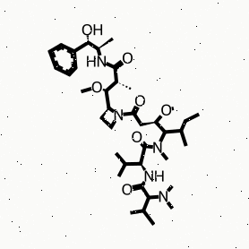 CCC(C)C([C@@H](CC(=O)N1CC[C@H]1[C@H](OC)[C@@H](C)C(=O)N[C@H](C)[C@@H](O)c1ccccc1)OC)N(C)C(=O)[C@@H](NC(=O)C(C(C)C)N(C)C)C(C)C